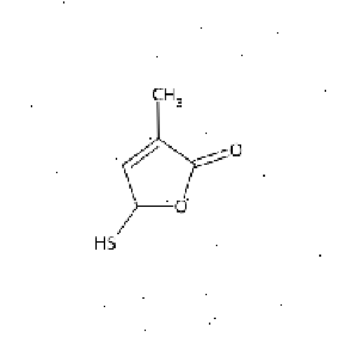 CC1=CC(S)OC1=O